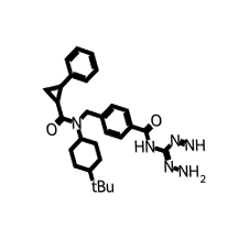 CC(C)(C)C1CCC(N(Cc2ccc(C(=O)N/C(N=N)=N/N)cc2)C(=O)C2CC2c2ccccc2)CC1